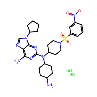 Cl.Cl.Nc1nc(N(C2CCC(N)CC2)C2CCN(S(=O)(=O)c3cccc([N+](=O)[O-])c3)CC2)nc2c1ncn2C1CCCC1